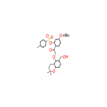 CCCCOc1ccc(C(=O)COc2c(CO)ccc3c2CCC(C)(C)O3)c(OS(=O)(=O)c2ccc(C)cc2)c1